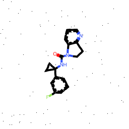 O=C(NC1(c2cccc(F)c2)CC1)N1CCc2ncccc21